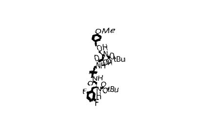 COc1ccc(COC[C@@H](NC(=O)OC(C)(C)C)[C@H](O)C(=O)NCC(C)(C)CNC(=O)C[C@@H](Cc2cc(F)ccc2F)NC(=O)OC(C)(C)C)cc1